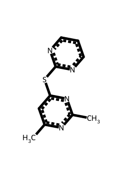 Cc1cc(Sc2ncccn2)nc(C)n1